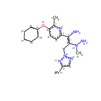 Cc1nc(/C(N)=C(\Cn2ncc(C(C)C)n2)N(C)N)ccc1OC1CCCCC1